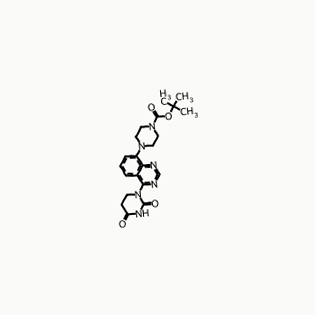 CC(C)(C)OC(=O)N1CCN(c2cccc3c(N4CCC(=O)NC4=O)ncnc23)CC1